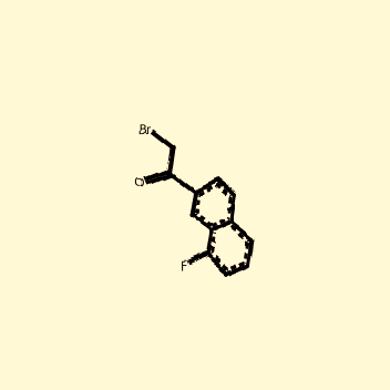 O=C(CBr)c1ccc2cccc(F)c2c1